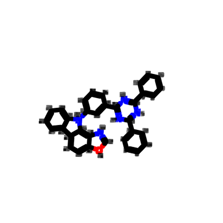 c1ccc(-c2nc(-c3ccccc3)nc(-c3cccc(-n4c5ccccc5c5ccc6ocnc6c54)c3)n2)cc1